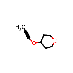 CC#COC1CCOCC1